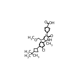 COCCC1=CN(c2ccc(C(=O)O)cc2)C(=O)N[C@@]1(C)c1ccc(C2CC(C(C)(C)C)C2)c(Cl)c1